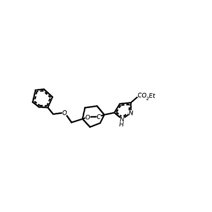 CCOC(=O)c1cc(C23CCC(COCc4ccccc4)(CC2)OC3)[nH]n1